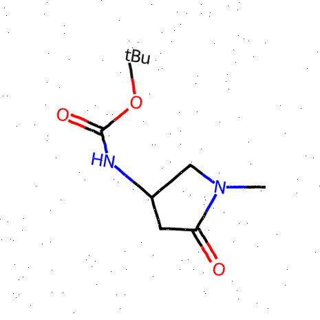 CN1CC(NC(=O)OC(C)(C)C)CC1=O